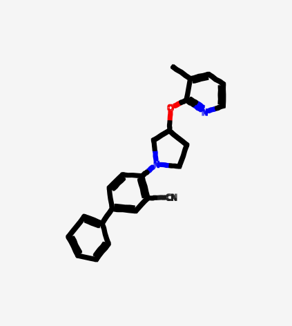 Cc1cccnc1OC1CCN(c2ccc(-c3ccccc3)cc2C#N)C1